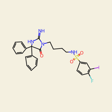 N=C1NC(c2ccccc2)(c2ccccc2)C(=O)N1CCCCNS(=O)(=O)c1ccc(F)c(I)c1